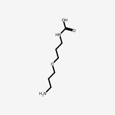 NCCCOCCCNC(=O)O